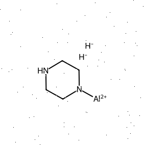 [Al+2][N]1CCNCC1.[H-].[H-]